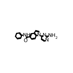 Nc1nccc(-n2ccc3cc(C(=O)NC4=CCCC=C4)ccc32)n1